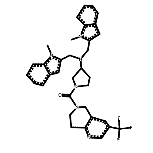 Cn1c(CN(Cc2cc3ccccc3n2C)C2CCN(C(=O)N3CCc4ncc(C(F)(F)F)cc4C3)C2)cc2ccccc21